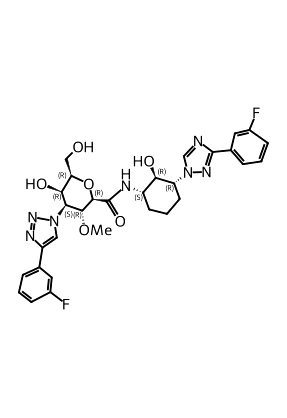 CO[C@@H]1[C@@H](n2cc(-c3cccc(F)c3)nn2)[C@@H](O)[C@@H](CO)O[C@H]1C(=O)N[C@H]1CCC[C@@H](n2cnc(-c3cccc(F)c3)n2)[C@@H]1O